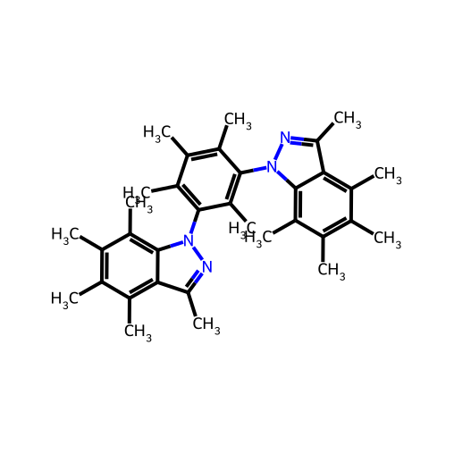 Cc1c(C)c(-n2nc(C)c3c(C)c(C)c(C)c(C)c32)c(C)c(-n2nc(C)c3c(C)c(C)c(C)c(C)c32)c1C